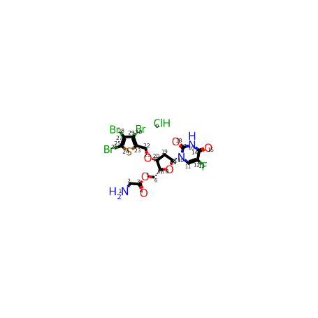 Cl.NCC(=O)OC[C@H]1O[C@@H](n2cc(F)c(=O)[nH]c2=O)C[C@@H]1OCc1sc(Br)c(Br)c1Br